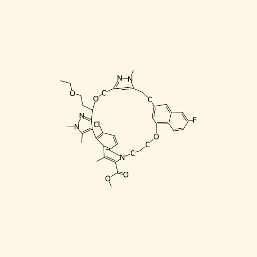 CCOCCC1OCc2cc(n(C)n2)CCc2cc(c3ccc(F)cc3c2)OCCCn2c(C(=O)OC)c(C)c3c(c(Cl)ccc32)-c2c1nn(C)c2C